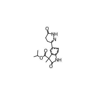 CC(C)OC(=O)C1(C)C(=O)Nc2ccc(C3=NNC(=O)CC3)cc21